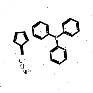 C=C1C=CC=C1.[Cl-].[Cl-].[Ni+2].c1ccc(P(c2ccccc2)c2ccccc2)cc1